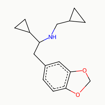 c1cc2c(cc1CC(NCC1CC1)C1CC1)OCO2